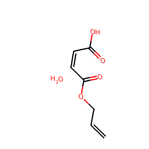 C=CCOC(=O)/C=C\C(=O)O.O